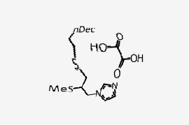 CCCCCCCCCCCCSCC(Cn1ccnc1)SC.O=C(O)C(=O)O